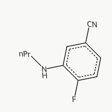 CCCNc1cc(C#N)ccc1F